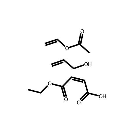 C=CCO.C=COC(C)=O.CCOC(=O)/C=C\C(=O)O